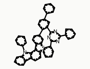 c1ccc(-c2ccc(-c3ccc4c(c3)sc3ccc5c6ccccc6n(-c6ccccc6)c5c34)c(-c3nc(-c4ccccc4)nc(-c4ccccc4)n3)c2)cc1